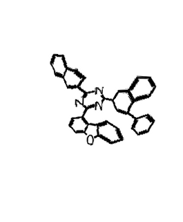 C1=C(c2ccccc2)c2ccccc2CC1c1nc(-c2ccc3ccccc3c2)nc(-c2cccc3oc4ccccc4c23)n1